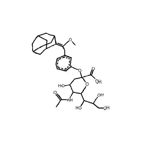 COC(=C1C2CC3CC(C2)CC1C3)c1cccc(OC2(C(=O)O)CC(O)C(NC(C)=O)C(C(O)C(O)CO)O2)c1